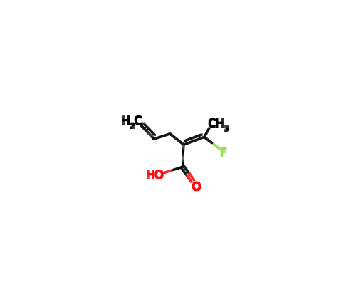 C=CC/C(C(=O)O)=C(\C)F